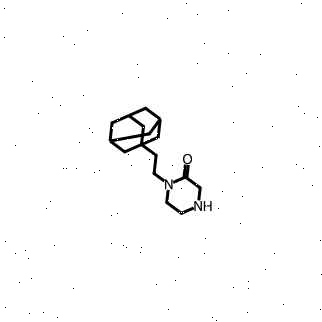 O=C1CNCCN1CCC12CC3CC(CC(C3)C1)C2